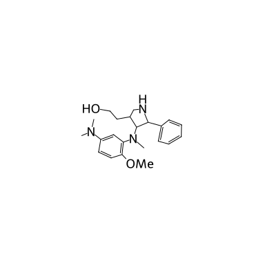 COc1ccc(N(C)C)cc1N(C)C1C(CCO)CNC1c1ccccc1